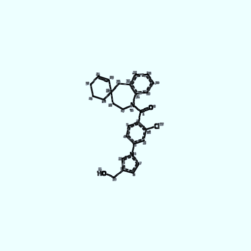 O=C(c1ccc(-n2ccc(CO)c2)cc1Cl)N1CCC2(C=CCCC2)Cc2ccccc21